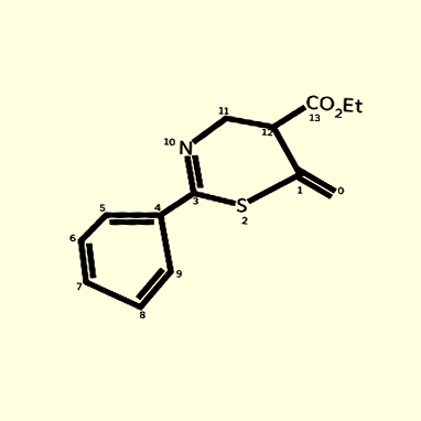 C=C1SC(c2ccccc2)=NCC1C(=O)OCC